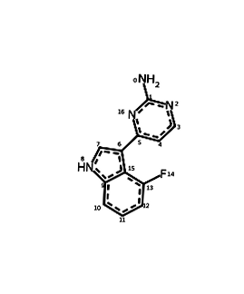 Nc1nccc(-c2c[nH]c3cccc(F)c23)n1